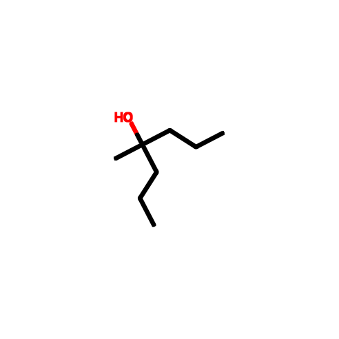 CCCC(C)(O)CCC